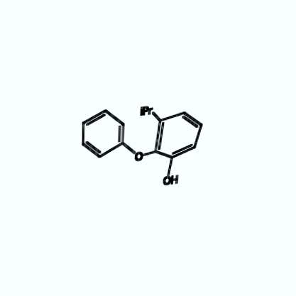 CC(C)c1cccc(O)c1Oc1ccccc1